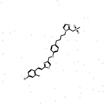 CS(=O)(=O)Cc1nccn1CCCCc1ccc(OCc2coc(C=Cc3ccc(Br)cc3F)n2)cc1